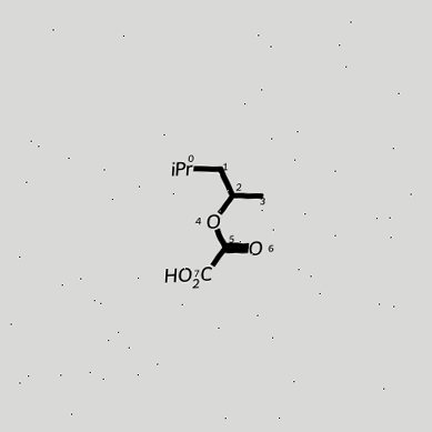 CC(C)CC(C)OC(=O)C(=O)O